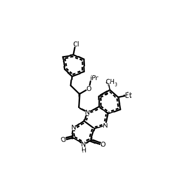 CCc1cc2nc3c(=O)[nH]c(=O)nc-3n(CC(Cc3ccc(Cl)cc3)OC(C)C)c2cc1C